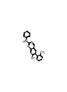 Cc1ccccc1-c1cc2cnc(Nc3ccccc3)nc2cc1O